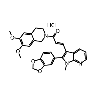 COc1cc2c(cc1OC)CN(C(=O)C=Cc1c(-c3ccc4c(c3)OCO4)n(C)c3ncccc13)CC2.Cl